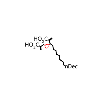 C=C(COC(CCCCCCCCCCCCCCCCCC)C(=C)C(=O)O)C(=O)O